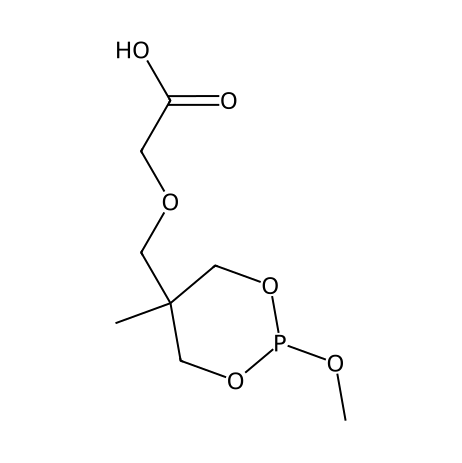 COP1OCC(C)(COCC(=O)O)CO1